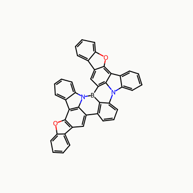 c1cc2c3c(c1)-n1c4ccccc4c4c5oc6ccccc6c5cc(c41)B3n1c3ccccc3c3c4oc5ccccc5c4cc-2c31